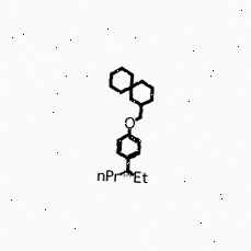 [CH2]CC[C@H](C[CH2])c1ccc(OCC2CCCC3(CCCCC3)C2)cc1